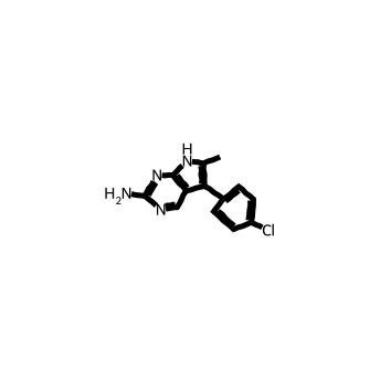 Cc1[nH]c2nc(N)ncc2c1-c1ccc(Cl)cc1